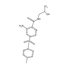 Cc1ccc(S(=O)(=O)c2cnc(C(=O)NCC(O)C(F)(F)F)c(N)c2)cc1